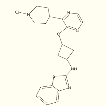 ClN1CCC(c2nccnc2OC2CC(Nc3nc4ccccc4s3)C2)CC1